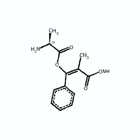 COC(=O)C(C)=C(OC(=O)[C@H](C)N)c1ccccc1